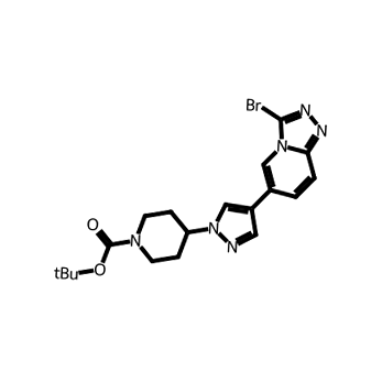 CC(C)(C)OC(=O)N1CCC(n2cc(-c3ccc4nnc(Br)n4c3)cn2)CC1